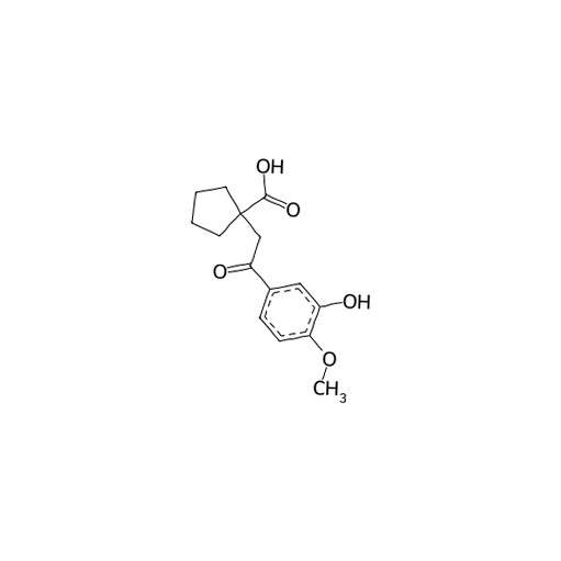 COc1ccc(C(=O)CC2(C(=O)O)CCCC2)cc1O